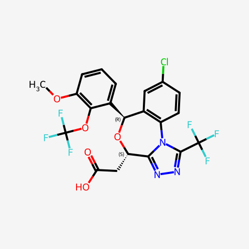 COc1cccc([C@@H]2O[C@@H](CC(=O)O)c3nnc(C(F)(F)F)n3-c3ccc(Cl)cc32)c1OC(F)(F)F